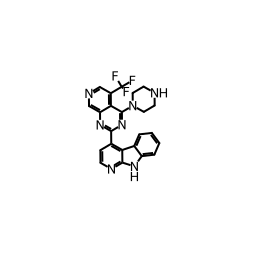 FC(F)(F)c1cncc2nc(-c3ccnc4[nH]c5ccccc5c34)nc(N3CCNCC3)c12